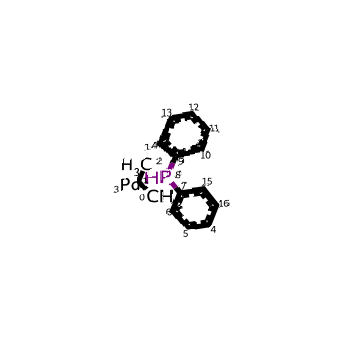 CCC.[Pd].c1ccc(Pc2ccccc2)cc1